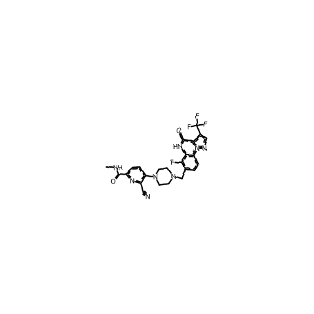 CNC(=O)c1ccc(N2CCN(Cc3ccc4c([nH]c(=O)c5c(C(F)(F)F)cnn54)c3F)CC2)c(C#N)n1